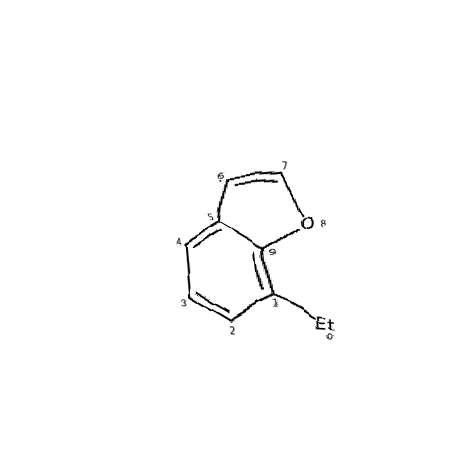 CCc1cccc2[c]coc12